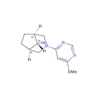 COc1cc(N2C[C@H]3CC[C@@H](C2)[C@@H]3N)ncn1